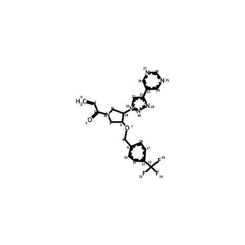 C=CC(=O)N1CC(OCc2ccc(C(F)(F)F)cc2)C(n2cc(-c3cncnc3)nn2)C1